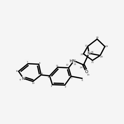 Cc1ccc(-c2cccnc2)cc1NC(=O)N1C2CCC1CC2